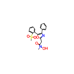 CN(O)C(=O)Cc1nc(-c2ccccc2)c(-c2ccccc2S(C)(=O)=O)o1